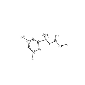 COC(=O)C[C@H](N)c1cc(C)cc(Cl)c1